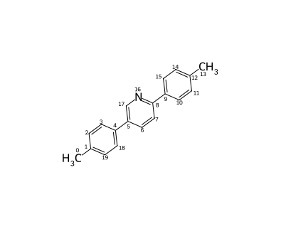 Cc1ccc(-c2ccc(-c3ccc(C)cc3)nc2)cc1